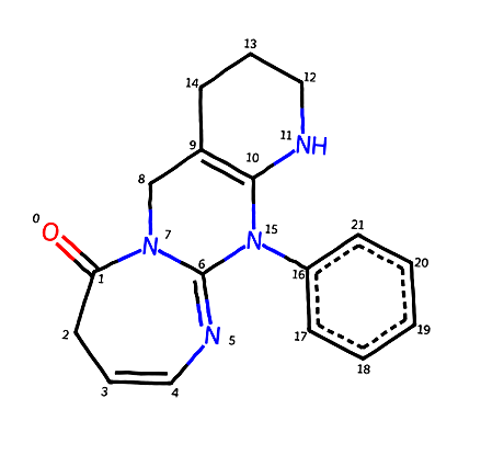 O=C1CC=CN=C2N1CC1=C(NCCC1)N2c1ccccc1